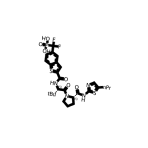 CCCc1cnc(NC(=O)[C@@H]2CCCN2C(=O)[C@@H](NC(=O)c2cc3cc(C(F)(F)P(=O)(O)O)ccc3s2)C(C)(C)C)s1